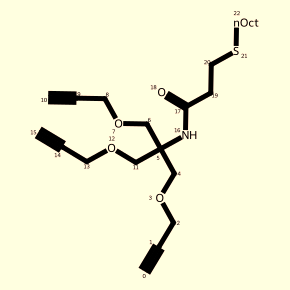 C#CCOCC(COCC#C)(COCC#C)NC(=O)CCSCCCCCCCC